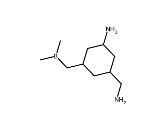 CB(C)CC1CC(N)CC(CN)C1